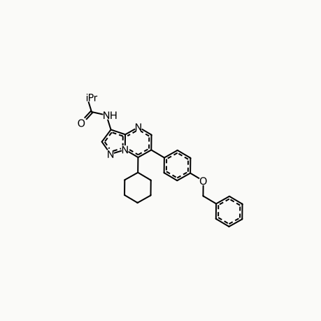 CC(C)C(=O)Nc1cnn2c(C3CCCCC3)c(-c3ccc(OCc4ccccc4)cc3)cnc12